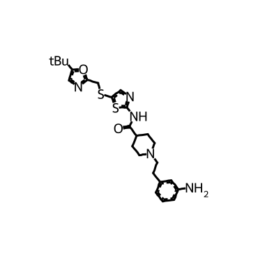 CC(C)(C)c1cnc(CSc2cnc(NC(=O)C3CCN(CCc4cccc(N)c4)CC3)s2)o1